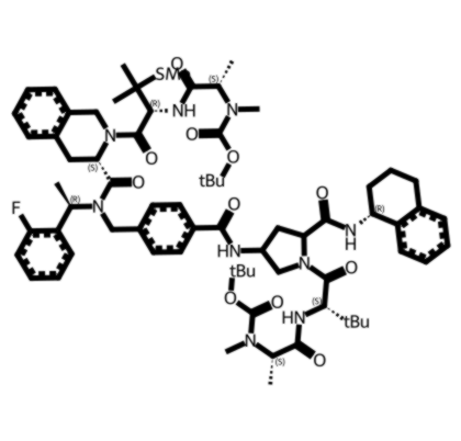 CSC(C)(C)[C@H](NC(=O)[C@H](C)N(C)C(=O)OC(C)(C)C)C(=O)N1Cc2ccccc2C[C@H]1C(=O)N(Cc1ccc(C(=O)NC2CC(C(=O)N[C@@H]3CCCc4ccccc43)N(C(=O)[C@@H](NC(=O)[C@H](C)N(C)C(=O)OC(C)(C)C)C(C)(C)C)C2)cc1)[C@H](C)c1ccccc1F